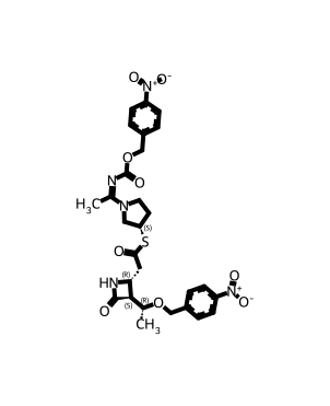 CC(=NC(=O)OCc1ccc([N+](=O)[O-])cc1)N1CC[C@H](SC(=O)C[C@H]2NC(=O)[C@@H]2[C@@H](C)OCc2ccc([N+](=O)[O-])cc2)C1